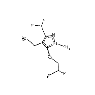 Cn1nc(C(F)F)c(CBr)c1OCC(F)F